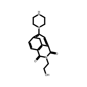 O=C1C2=CC(N3CCNCC3)=C3C=CC(=C2C3)C(=O)N1CCO